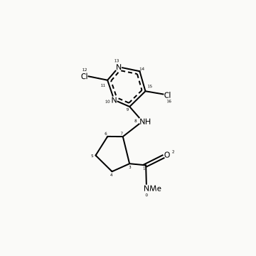 CNC(=O)C1CCCC1Nc1nc(Cl)ncc1Cl